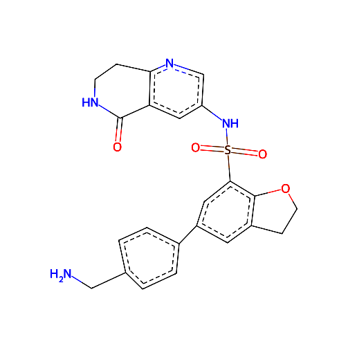 NCc1ccc(-c2cc3c(c(S(=O)(=O)Nc4cnc5c(c4)C(=O)NCC5)c2)OCC3)cc1